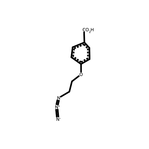 [N-]=[N+]=NCCOc1ccc(C(=O)O)cc1